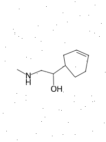 CNCC(O)C1CC=CCC1